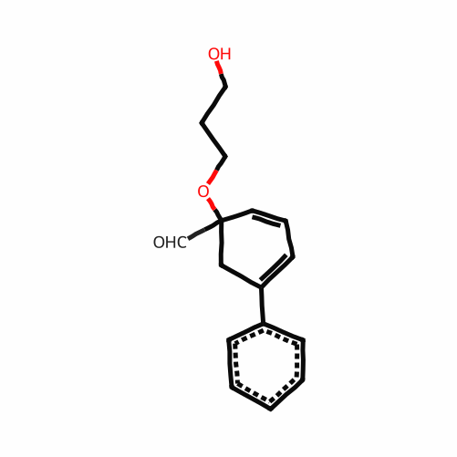 O=CC1(OCCCO)C=CC=C(c2ccccc2)C1